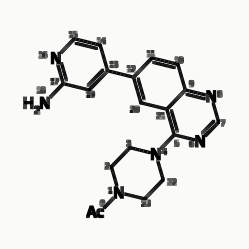 CC(=O)N1CCN(c2ncnc3ccc(-c4ccnc(N)c4)cc23)CC1